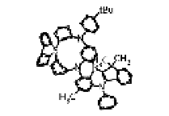 Cc1cc2c3c(c1)N1c4cccc(c4)[Si]4(c5cccc(c5)N(c5ccc(C(C)(C)C)cc5)c5ccc(c1c5)B3C1=C(c3ccccc3C1(C)C)N2c1ccccc1)c1ccccc1-c1ccccc14